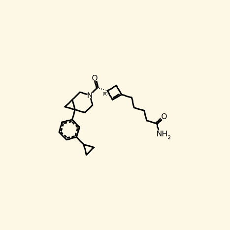 NC(=O)CCCCC1=C[C@H](C(=O)N2CCC3(c4cccc(C5CC5)c4)CC3C2)C1